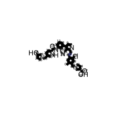 Cc1cc(/C=C/c2nccc(-c3cccc(NC(=O)c4ccc(CN5CC[C@@H](O)C5)cn4)c3Cl)c2C#N)c(Cl)cc1CN1CC[C@@H](C(=O)O)C1